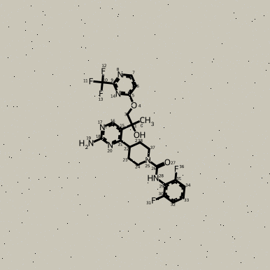 CC(O)(COc1ccnc(C(F)(F)F)n1)c1cnc(N)nc1C1CCN(C(=O)Nc2c(F)cccc2F)CC1